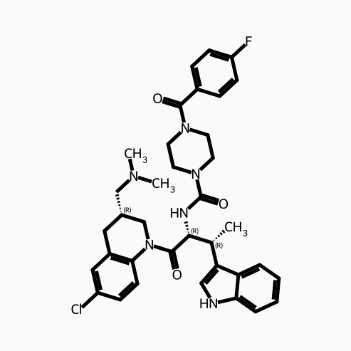 C[C@H](c1c[nH]c2ccccc12)[C@@H](NC(=O)N1CCN(C(=O)c2ccc(F)cc2)CC1)C(=O)N1C[C@@H](CN(C)C)Cc2cc(Cl)ccc21